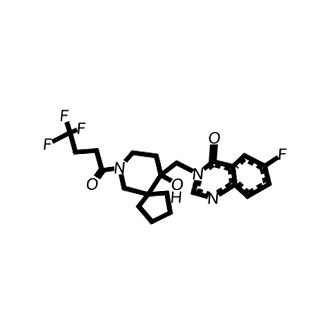 O=C(CCC(F)(F)F)N1CCC(O)(Cn2cnc3ccc(F)cc3c2=O)C2(CCCC2)C1